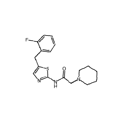 O=C(CN1CCCCC1)Nc1ncc(Cc2ccccc2F)s1